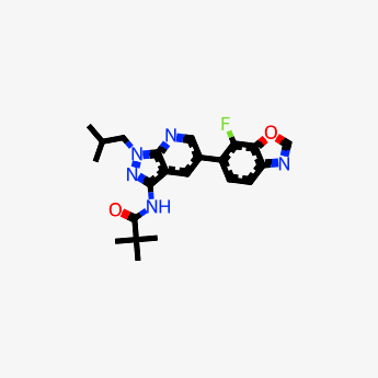 CC(C)Cn1nc(NC(=O)C(C)(C)C)c2cc(-c3ccc4ncoc4c3F)cnc21